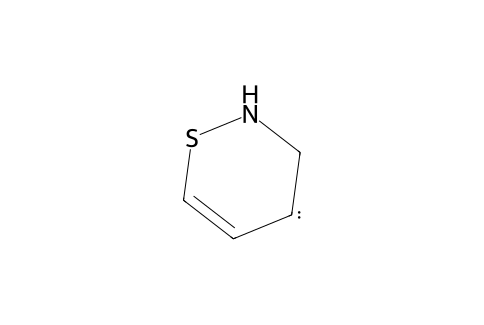 [C]1C=CSNC1